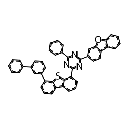 c1ccc(-c2cccc(-c3cccc4c3sc3c(-c5nc(-c6ccccc6)nc(-c6ccc7c(c6)oc6ccccc67)n5)cccc34)c2)cc1